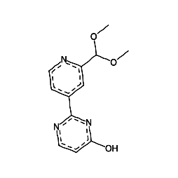 COC(OC)c1cc(-c2nccc(O)n2)ccn1